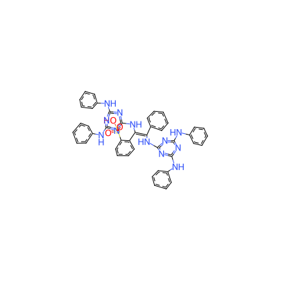 O=S(=O)(O)c1ccccc1C(Nc1nc(Nc2ccccc2)nc(Nc2ccccc2)n1)=C(Nc1nc(Nc2ccccc2)nc(Nc2ccccc2)n1)c1ccccc1